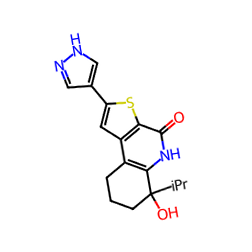 CC(C)C1(O)CCCc2c1[nH]c(=O)c1sc(-c3cn[nH]c3)cc21